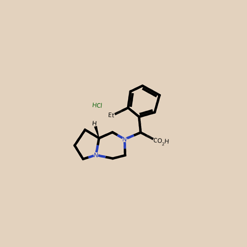 CCc1ccccc1C(C(=O)O)N1CCN2CCC[C@@H]2C1.Cl